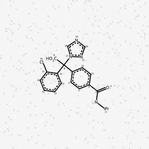 CC(C)[N]C(=O)c1ccc(C(C(=O)O)(c2ccccc2Cl)n2cncn2)cc1